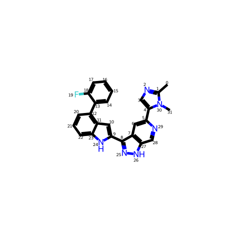 Cc1ncc(-c2cc3c(-c4cc5c(-c6ccccc6F)cccc5[nH]4)n[nH]c3cn2)n1C